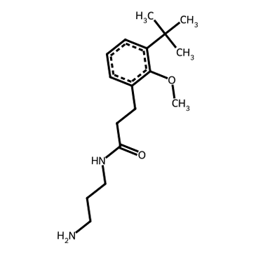 COc1c(CCC(=O)NCCCN)cccc1C(C)(C)C